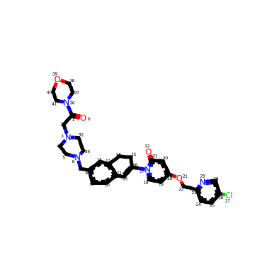 O=C(CN1CCN(Cc2ccc3c(c2)CCC(n2ccc(OCc4ccc(Cl)cn4)cc2=O)=C3)CC1)N1CCOCC1